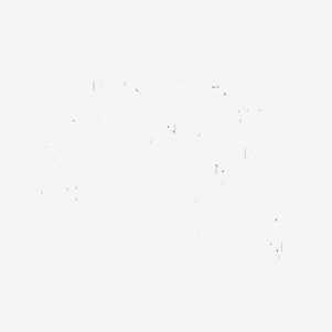 CCCCN(C(=O)CN1C[C@H](c2ccc3c(c2)OCO3)[C@@H](C(=O)O)[C@@H]1CC(C)(C)C1OCCO1)c1cccc(CN)c1